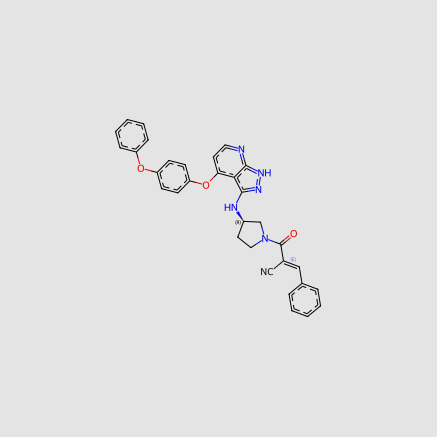 N#C/C(=C\c1ccccc1)C(=O)N1CC[C@@H](Nc2n[nH]c3nccc(Oc4ccc(Oc5ccccc5)cc4)c23)C1